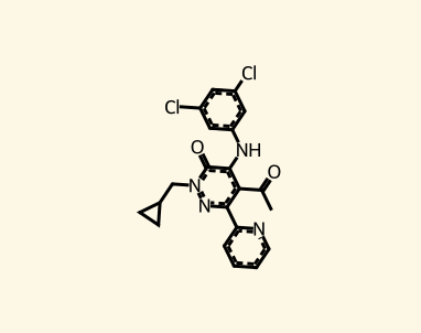 CC(=O)c1c(-c2ccccn2)nn(CC2CC2)c(=O)c1Nc1cc(Cl)cc(Cl)c1